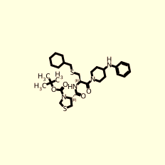 CC(C)(C)OC(=O)N1CSC[C@H]1C(=O)N[C@@H](CSCC1CCCCC1)C(=O)N1CCC(Nc2ccccc2)CC1